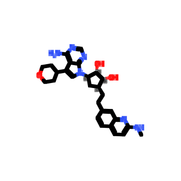 CNc1ccc2ccc(CC[C@H]3C[C@@H](n4cc(C5CCOCC5)c5c(N)ncnc54)[C@H](O)[C@@H]3O)cc2n1